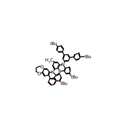 Cc1cc2c3c(c1)N(c1cc4c(cc1-c1ccccc1)OCCCO4)c1ccc(C(C)(C)C)cc1B3c1cc(C(C)(C)C)ccc1N2c1cc(-c2ccc(C(C)(C)C)cc2)cc(-c2ccc(C(C)(C)C)cc2)c1